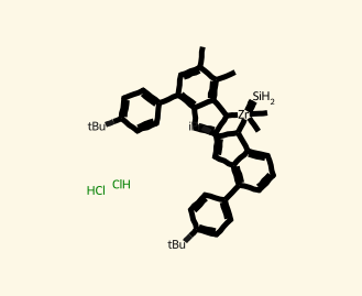 CC1=Cc2c(-c3ccc(C(C)(C)C)cc3)cc(C)c(C)c2[CH]1[Zr]([CH3])([CH3])(=[SiH2])[CH]1C(C(C)C)=Cc2c(-c3ccc(C(C)(C)C)cc3)cccc21.Cl.Cl